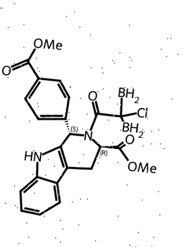 BC(B)(Cl)C(=O)N1[C@@H](c2ccc(C(=O)OC)cc2)c2[nH]c3ccccc3c2C[C@@H]1C(=O)OC